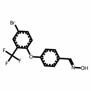 ON=Cc1ccc(Oc2ccc(Br)cc2C(F)(F)F)cc1